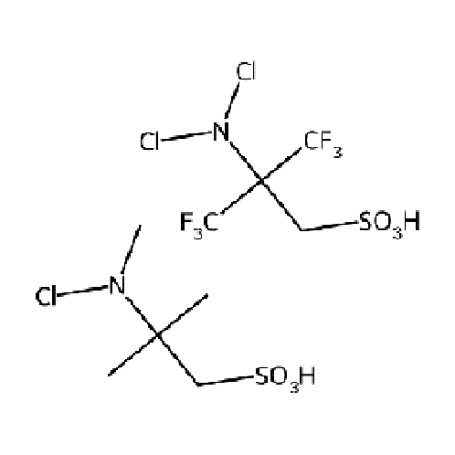 CN(Cl)C(C)(C)CS(=O)(=O)O.O=S(=O)(O)CC(N(Cl)Cl)(C(F)(F)F)C(F)(F)F